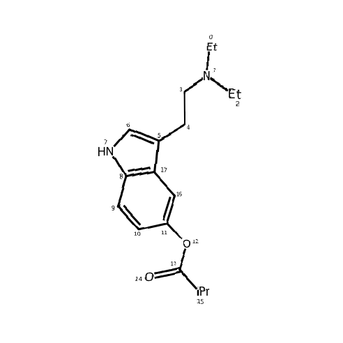 CCN(CC)CCc1c[nH]c2ccc(OC(=O)C(C)C)cc12